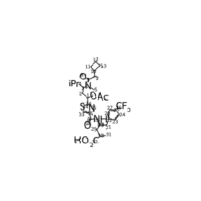 CC(=O)OC(CC(C(C)C)N(C)C(=O)CC1CCC1)c1nc(C(=O)N[C@@H](Cc2ccc(C(F)(F)F)cc2)CC(C)C(=O)O)cs1